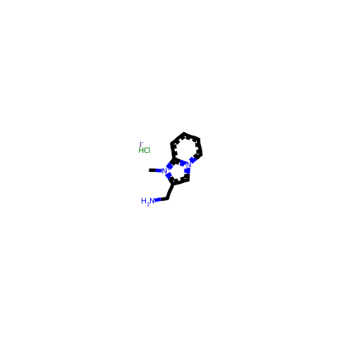 C[n+]1c(CN)cn2ccccc21.Cl.[I-]